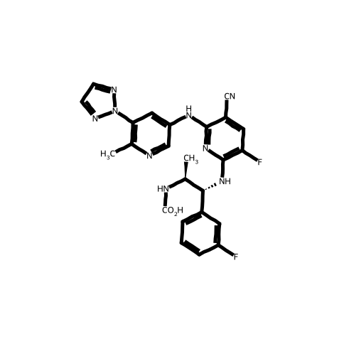 Cc1ncc(Nc2nc(N[C@H](c3cccc(F)c3)[C@H](C)NC(=O)O)c(F)cc2C#N)cc1-n1nccn1